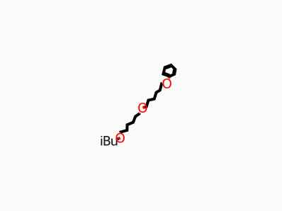 CCC(C)OCCCCCCOCCCCCCOc1ccccc1